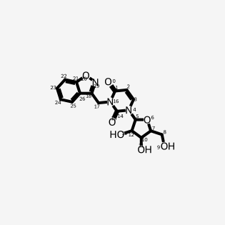 O=c1ccn(C2OC(CO)C(O)C2O)c(=O)n1Cc1noc2ccccc12